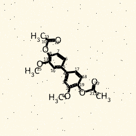 COc1cc(-c2ccc(OC(C)=O)c(OC)c2)ccc1OC(C)=O